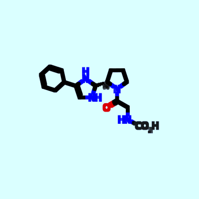 O=C(O)NCC(=O)N1CCC[C@H]1C1NC=C(C2C=CC=CC2)N1